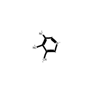 N#Cc1[c]ncc(C#N)c1C#N